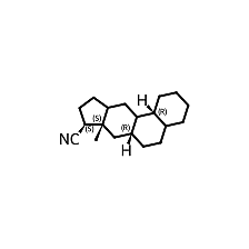 C[C@]12C[C@H]3CCC4CCCC[C@H]4C3CC1CC[C@@H]2C#N